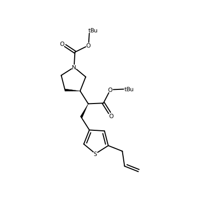 C=CCc1cc(C[C@H](C(=O)OC(C)(C)C)[C@H]2CCN(C(=O)OC(C)(C)C)C2)cs1